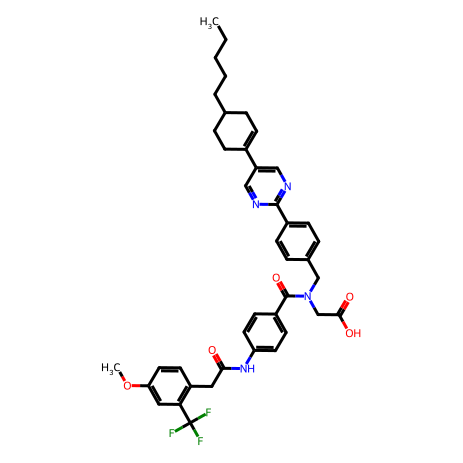 CCCCCC1CC=C(c2cnc(-c3ccc(CN(CC(=O)O)C(=O)c4ccc(NC(=O)Cc5ccc(OC)cc5C(F)(F)F)cc4)cc3)nc2)CC1